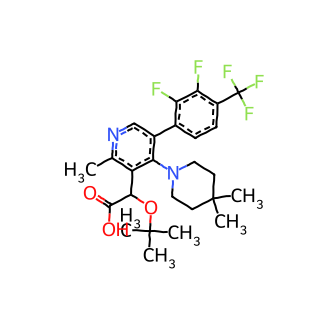 Cc1ncc(-c2ccc(C(F)(F)F)c(F)c2F)c(N2CCC(C)(C)CC2)c1C(OC(C)(C)C)C(=O)O